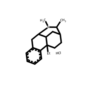 CCC12CCC3CC1C(Cc1ccccc12)N(C)C3C.Cl